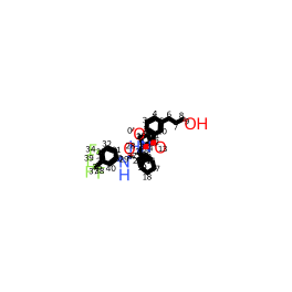 COc1ccc(CCCO)cc1C(=O)N[C@@H]1C2CCC(/C2=C/C2CCC2)[C@@H]1C(=O)Nc1ccc(F)c(C(F)(F)F)c1